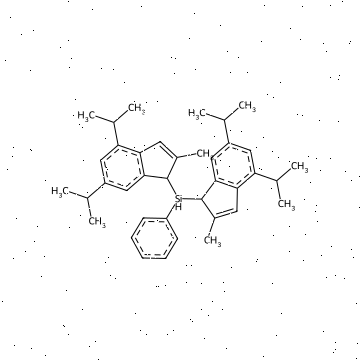 CC1=Cc2c(C(C)C)cc(C(C)C)cc2C1[SiH](c1ccccc1)C1C(C)=Cc2c(C(C)C)cc(C(C)C)cc21